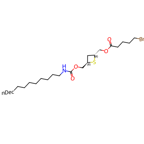 CCCCCCCCCCCCCCCCCCNC(=O)OC[C@H]1C[C@H](COC(=O)CCCCBr)S1